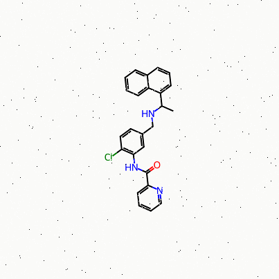 CC(NCc1ccc(Cl)c(NC(=O)c2ccccn2)c1)c1cccc2ccccc12